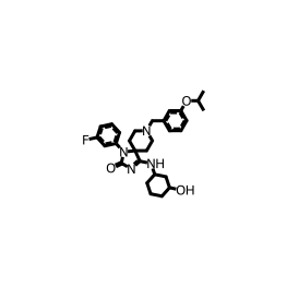 CC(C)Oc1cccc(CN2CCC3(CC2)C(NC2CCCC(O)C2)=NC(=O)N3c2cccc(F)c2)c1